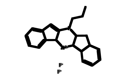 CCCP1C2=Cc3ccccc3[CH]2[Zr+2][CH]2C3C=CC=CC3CC21.[F-].[F-]